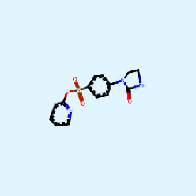 O=C1NCCN1c1ccc(S(=O)(=O)Oc2ccccn2)cc1